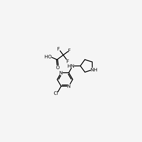 Clc1cnc(NC2CCNC2)cn1.O=C(O)C(F)(F)F